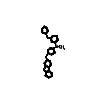 CN(c1ccc(Cc2ccc3c(c2)sc2ccccc23)cc1)c1cccc(Cc2ccccc2)c1